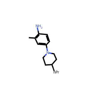 CCCC1CCN(c2ccc(N)c(C)c2)CC1